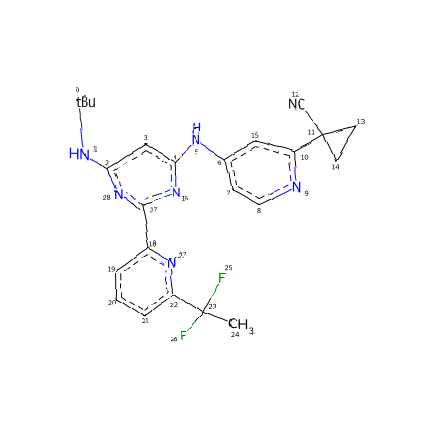 CC(C)(C)Nc1cc(Nc2ccnc(C3(C#N)CC3)c2)nc(-c2cccc(C(C)(F)F)n2)n1